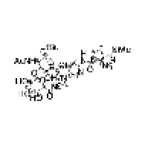 CNc1ncnc2c1ccn2C(=O)Nc1ccc(N2CCN(C(=O)C3OC(OC4C(O)C(CO)OC(OC(C)(C)C)C4NC(C)=O)C(O)C(O)C3O)CC2)cn1